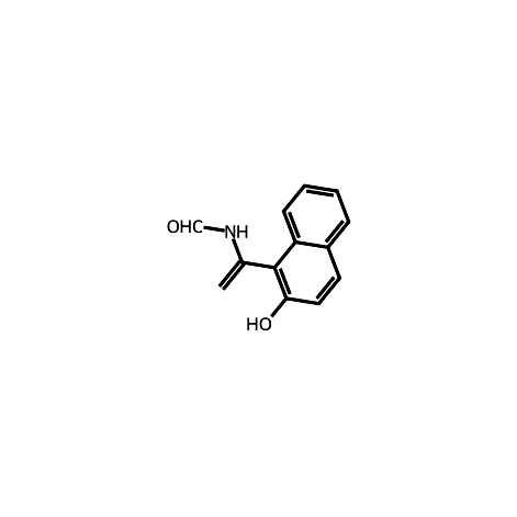 C=C(NC=O)c1c(O)ccc2ccccc12